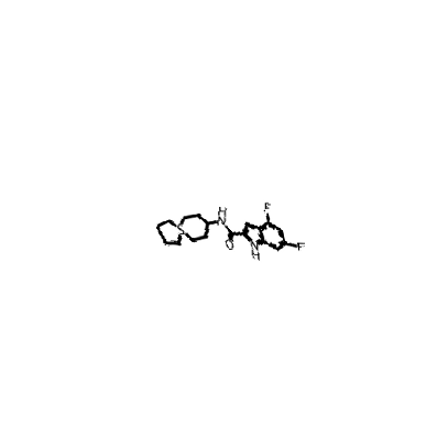 O=C(NC1CCS2(CCCC2)CC1)c1cc2c(F)cc(F)cc2[nH]1